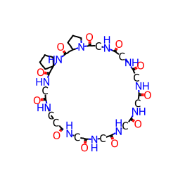 O=C1CCNC(=O)CNC(=O)C2(CCCC2)NC(=O)C2CCCN2C(=O)CNC(=O)CNC(=O)CNC(=O)CNC(=O)CNC(=O)CNC(=O)CN1